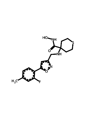 Cc1ccc(-c2cc(CNC3(C(=O)NO)CCSCC3)no2)c(F)c1